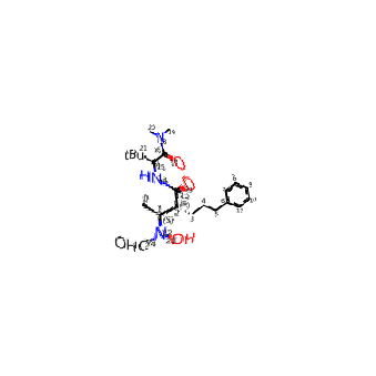 C[C@@H]([C@@H](CCCc1ccccc1)C(=O)N[C@H](C(=O)N(C)C)C(C)(C)C)N(O)C=O